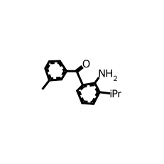 Cc1cccc(C(=O)c2cccc(C(C)C)c2N)c1